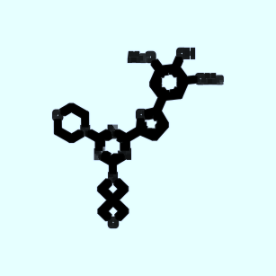 COc1cc(-c2ccc(-c3nc(N4CCOCC4)nc(N4CC5(COC5)C4)n3)o2)cc(OC)c1O